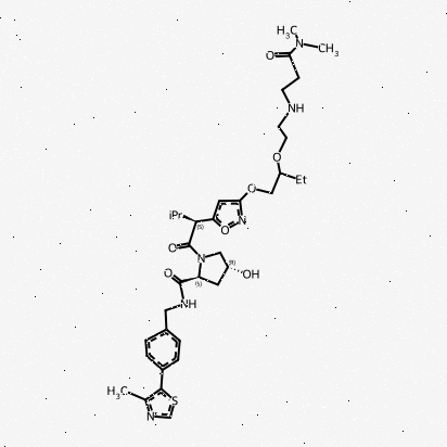 CCC(COc1cc([C@@H](C(=O)N2C[C@H](O)C[C@H]2C(=O)NCc2ccc(-c3scnc3C)cc2)C(C)C)on1)OCCNCCC(=O)N(C)C